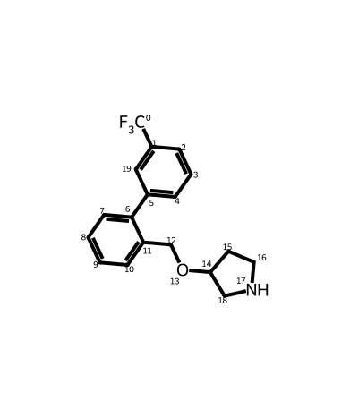 FC(F)(F)c1cccc(-c2ccccc2COC2CCNC2)c1